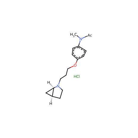 CC(=O)N(C)c1ccc(OCCCN2CC[C@H]3C[C@H]32)cc1.Cl